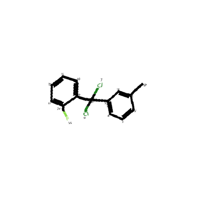 Cc1cccc(C(Cl)(Cl)c2ccccc2F)c1